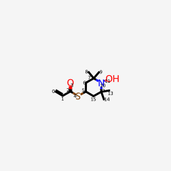 C=CC(=O)SC1CC(C)(C)N(O)C(C)(C)C1